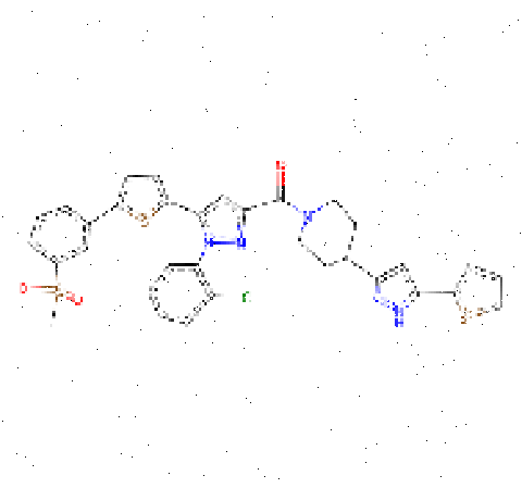 CS(=O)(=O)c1cccc(-c2ccc(-c3cc(C(=O)N4CCC(c5cc(-c6cccs6)[nH]n5)CC4)nn3-c3ccccc3Cl)s2)c1